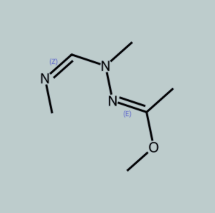 C/N=C\N(C)/N=C(\C)OC